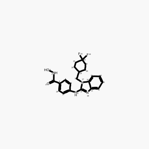 O=C(NO)c1ccc(Nc2nc3ccccc3n2CC2CCC(F)(F)CC2)cc1